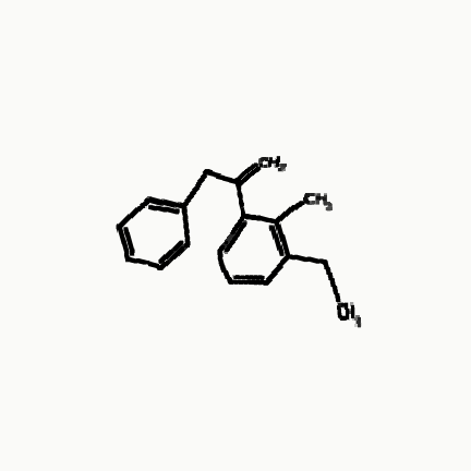 C=C(Cc1ccccc1)c1cccc(CC)c1C